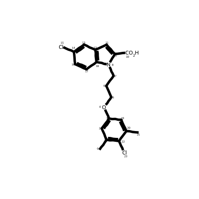 Cc1cc(OCCCn2c(C(=O)O)cc3cc(Cl)ccc32)cc(C)c1Cl